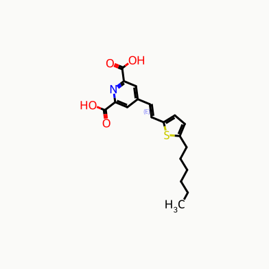 CCCCCCc1ccc(/C=C/c2cc(C(=O)O)nc(C(=O)O)c2)s1